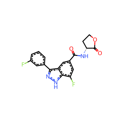 O=C(N[C@@H]1CCOC1=O)c1cc(F)c2[nH]nc(-c3cccc(F)c3)c2c1